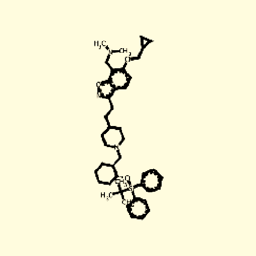 CN(C)Cc1c(OCC2CC2)ccc2c(CCC3CCN(C[C@@H]4CCCC[C@H]4O[Si](c4ccccc4)(c4ccccc4)C(C)(C)C)CC3)noc12